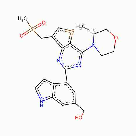 C[C@@H]1COCCN1c1nc(-c2cc(CO)cc3[nH]ccc23)nc2c(CS(C)(=O)=O)csc12